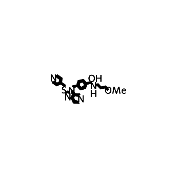 COCCCNC(O)c1ccc(Cn2c(SCc3ccncc3)nc3ccncc32)cc1